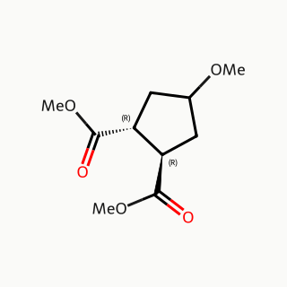 COC(=O)[C@@H]1CC(OC)C[C@H]1C(=O)OC